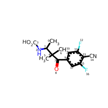 CC(NC(=O)O)C(C)(C)C(=O)c1cc(F)c(C#N)c(F)c1